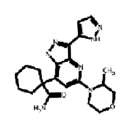 CC1COCCN1c1cc(C2(C(N)=O)CCCCC2)c2snc(-c3ccn[nH]3)c2n1